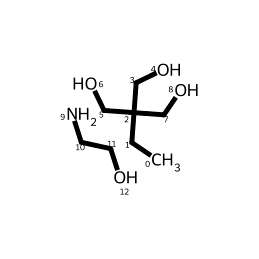 CCC(CO)(CO)CO.NCCO